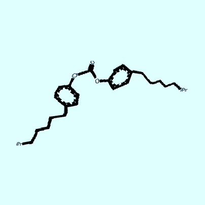 CC(C)CCCCCc1ccc(OC(=O)Oc2ccc(CCCCCC(C)C)cc2)cc1